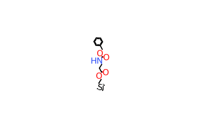 C[Si](C)(C)CCOC(=O)CCNC(=O)OCc1ccccc1